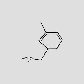 Cc1cccc(CC(=O)O)c1